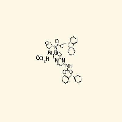 O=C(O)CN(C(=O)Cn1ccc(NC(=O)OC(c2ccccc2)c2ccccc2)nc1=O)[C@H]1COC[C@@H]1NC(=O)OCC1c2ccccc2-c2ccccc21